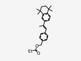 CCC(=O)OCc1ccc(C=C(C)c2ccc3c(c2)C(C)(C)CCC3(C)C)cc1